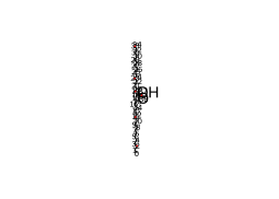 CCCCCCCCCCCCCCCCCCC(CCCCCCCCCCCCCCCC)C(=O)O